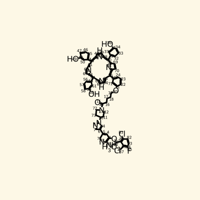 C[C@H](Oc1cc(-c2cnn(C3CCN(C(=O)CCCCOc4cccc(-c5c6nc(c(-c7cccc(O)c7)c7ccc([nH]7)c(-c7cccc(O)c7)c7nc(c(-c8cccc(O)c8)c8ccc5[nH]8)C=C7)C=C6)c4)CC3)c2)cnc1N)c1c(Cl)ccc(F)c1Cl